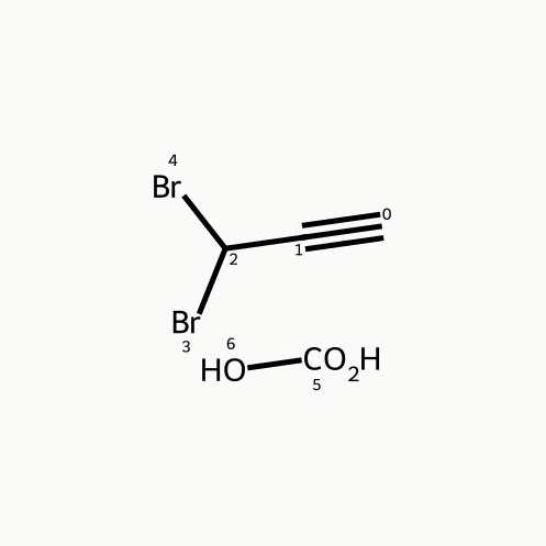 C#CC(Br)Br.O=C(O)O